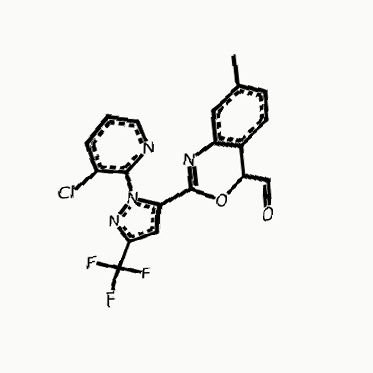 Cc1ccc2c(c1)N=C(c1cc(C(F)(F)F)nn1-c1ncccc1Cl)OC2C=O